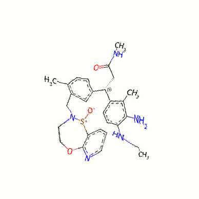 CCNc1ccc([C@@H](CC(=O)NC)c2ccc(C)c(CN3CCOc4ncccc4[S+]3[O-])c2)c(C)c1N